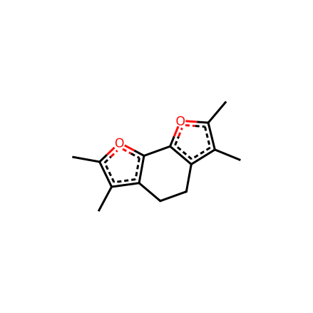 Cc1oc2c(c1C)CCc1c-2oc(C)c1C